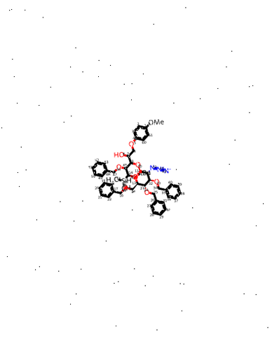 COc1ccc(OCC(O)C(O[C@@H]2O[C@H](COCc3ccccc3)[C@@H](OCc3ccccc3)[C@H](OCc3ccccc3)[C@H]2N=[N+]=[N-])C(OCc2ccccc2)C(OC(C)(C)C)[SiH](C)C)cc1